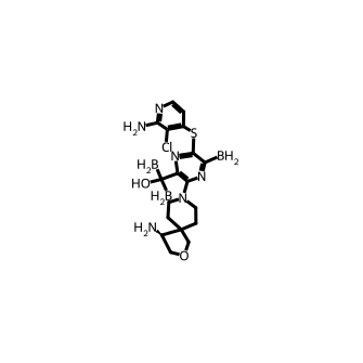 Bc1nc(N2CCC3(CC2)COC[C@H]3N)c(C(B)(B)O)nc1Sc1ccnc(N)c1Cl